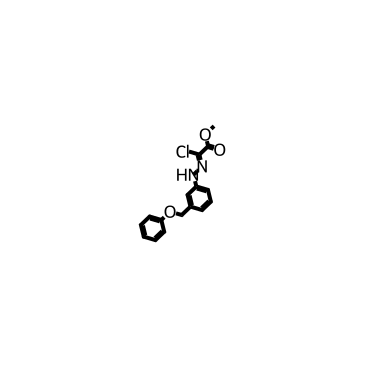 COC(=O)C(Cl)=NNc1cccc(COc2ccccc2)c1